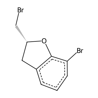 BrC[C@H]1Cc2cccc(Br)c2O1